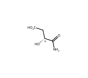 NC(=O)[C@H](O)CC(=O)O